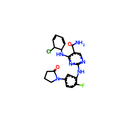 NC(=O)c1cnc(Nc2cc(N3CCCC3=O)ccc2F)nc1NC1C=CC=CC1Cl